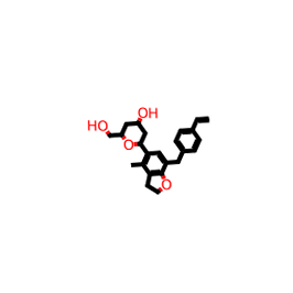 C=Cc1ccc(Cc2cc(C3CC(O)CC(CO)O3)c(C)c3c2OCC3)cc1